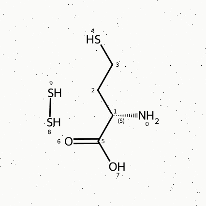 N[C@@H](CCS)C(=O)O.SS